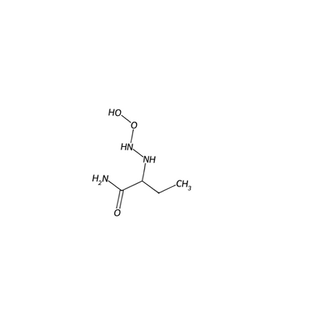 CCC(NNOO)C(N)=O